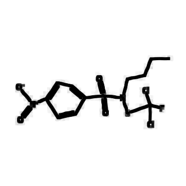 CCCCN(SC(F)(Cl)Cl)S(=O)(=O)c1ccc([N+](=O)[O-])cc1